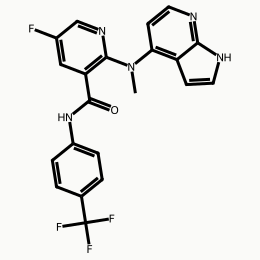 CN(c1ncc(F)cc1C(=O)Nc1ccc(C(F)(F)F)cc1)c1ccnc2[nH]ccc12